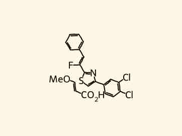 COC=CC(=O)O.FC(=Cc1ccccc1)c1nc(-c2ccc(Cl)c(Cl)c2)cs1